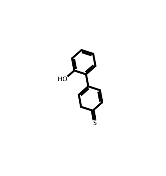 Oc1ccccc1C1=CCC(=S)C=C1